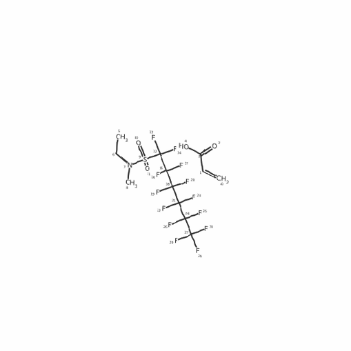 C=CC(=O)O.CCN(C)S(=O)(=O)C(F)(F)C(F)(F)C(F)(F)C(F)(F)C(F)(F)C(F)(F)F